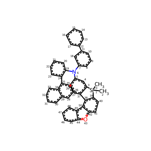 C[Si]1(C)c2cc(N(c3cccc(-c4ccccc4)c3)c3ccccc3-c3cccc4ccccc34)ccc2-c2c1ccc1oc3ccccc3c21